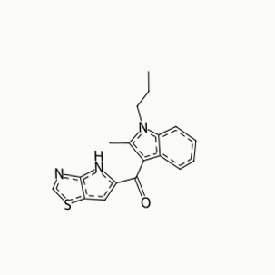 CCCn1c(C)c(C(=O)c2cc3scnc3[nH]2)c2ccccc21